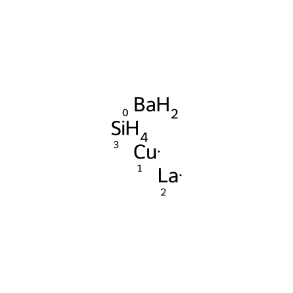 [BaH2].[Cu].[La].[SiH4]